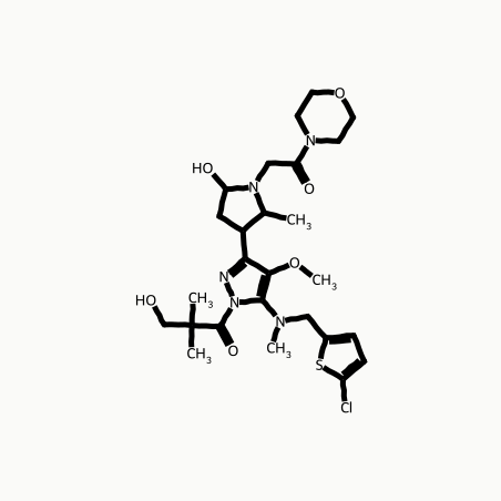 COc1c(C2CC(O)N(CC(=O)N3CCOCC3)C2C)nn(C(=O)C(C)(C)CO)c1N(C)Cc1ccc(Cl)s1